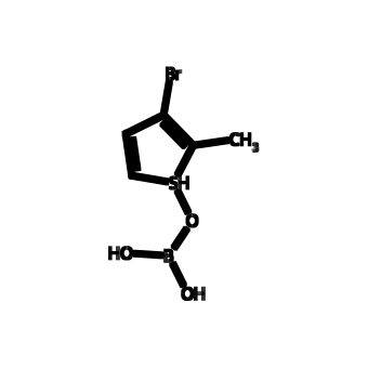 CC1=C(Br)C=C[SH]1OB(O)O